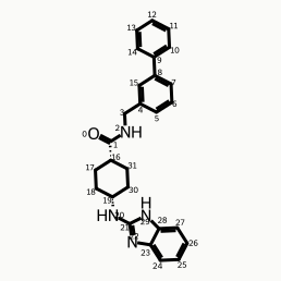 O=C(NCc1cccc(-c2ccccc2)c1)[C@H]1CC[C@@H](Nc2nc3ccccc3[nH]2)CC1